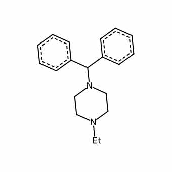 CCN1CCN(C(c2ccccc2)c2ccccc2)CC1